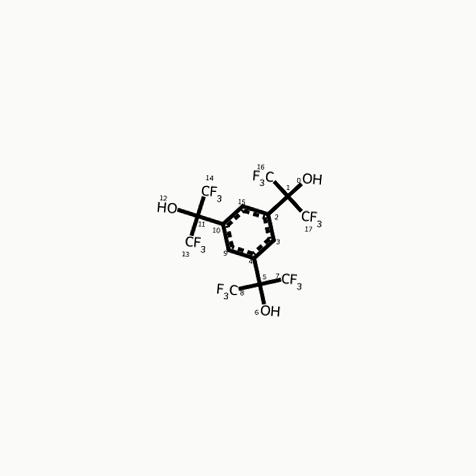 OC(c1cc(C(O)(C(F)(F)F)C(F)(F)F)cc(C(O)(C(F)(F)F)C(F)(F)F)c1)(C(F)(F)F)C(F)(F)F